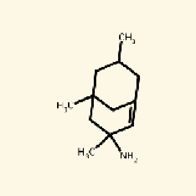 CC1CC2=CC(C)(N)CC(C)(C2)C1